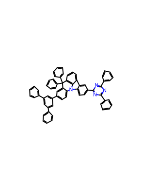 c1ccc(-c2cc(-c3ccccc3)cc(-c3ccc4c(c3)C(c3ccccc3)(c3ccccc3)c3cccc5c6cc(-c7nc(-c8ccccc8)nc(-c8ccccc8)n7)ccc6n-4c35)c2)cc1